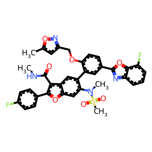 CNC(=O)c1c(-c2ccc(F)cc2)oc2cc(N(C)S(C)(=O)=O)c(-c3cc(-c4nc5cccc(F)c5o4)ccc3OCc3cc(C)on3)cc12